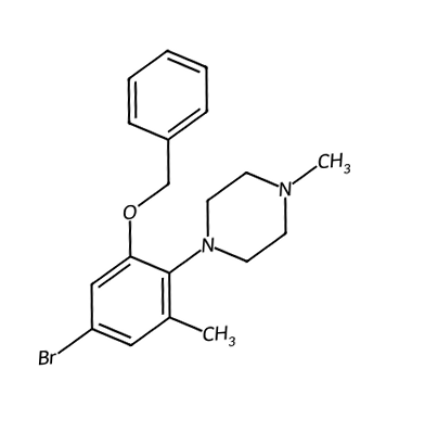 Cc1cc(Br)cc(OCc2ccccc2)c1N1CCN(C)CC1